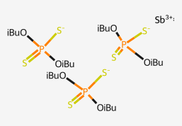 CC(C)COP(=S)([S-])OCC(C)C.CC(C)COP(=S)([S-])OCC(C)C.CC(C)COP(=S)([S-])OCC(C)C.[Sb+3]